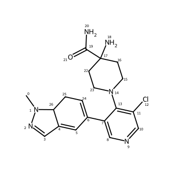 CN1N=CC2=CC(c3cncc(Cl)c3N3CCC(N)(C(N)=O)CC3)=CCC21